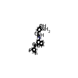 Nc1cc(C(=O)N/N=C/c2ccc(NC(=O)c3cc(F)cc(F)c3)c3ccccc23)ccc1O